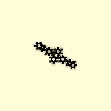 c1ccc2oc(-c3ccc(-c4c5ccccc5c(-c5ccc(-c6nc7ccccc7o6)cc5)c5ccccc45)cc3)nc2c1